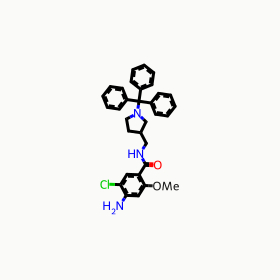 COc1cc(N)c(Cl)cc1C(=O)NCC1CCN(C(c2ccccc2)(c2ccccc2)c2ccccc2)C1